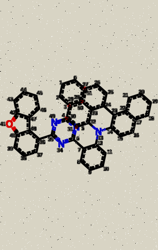 c1ccc(-c2nc(-c3ccccc3N3c4ccc5ccccc5c4-c4cccc5cccc3c45)nc(-c3cccc4oc5ccccc5c34)n2)cc1